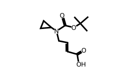 CC(C)(C)OC(=O)N(C/C=C/C(=O)O)C1CC1